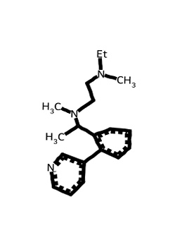 CCN(C)CCN(C)C(C)c1ccccc1-c1cccnc1